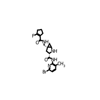 Cc1ccc(Br)nc1NC(=O)[C@@H]1C[C@@]2(CNC(=O)C3=C(F)CCC3)CC2N1